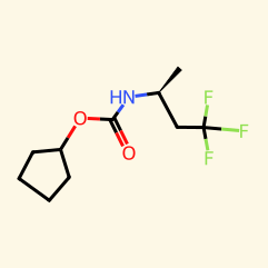 C[C@@H](CC(F)(F)F)NC(=O)OC1CCCC1